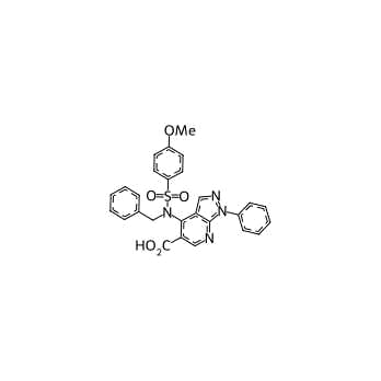 COc1ccc(S(=O)(=O)N(Cc2ccccc2)c2c(C(=O)O)cnc3c2cnn3-c2ccccc2)cc1